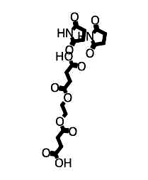 O=C(O)CCC(=O)OCCOC(=O)CCC(=O)O.O=C1CCC(=O)N1.O=C1CCC(=O)N1